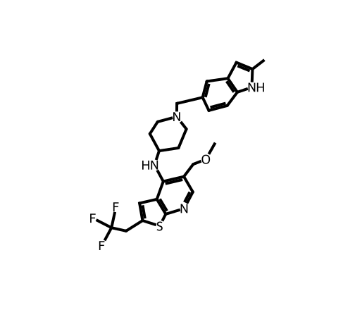 COCc1cnc2sc(CC(F)(F)F)cc2c1NC1CCN(Cc2ccc3[nH]c(C)cc3c2)CC1